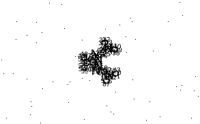 c1ccc(-n2c3ccccc3c3cc(-c4ncc5c(n4)c4nc(-c6ccc7c(c6)c6ccccc6n7-c6ccccc6)ncc4c4c6ccccc6c6ccccc6c54)ccc32)cc1